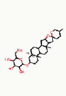 CC1CCC2(CC3C(CC4C5CC[C@@H]6CC(OC7OC(CO)C(O)C(O)C7O)CCC6(C)C5CCC34C)O2)OC1